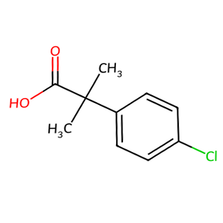 CC(C)(C(=O)O)c1ccc(Cl)cc1